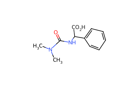 CN(C)C(=O)NC(C(=O)O)c1ccccc1